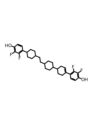 Oc1ccc(C2=CCC(C3CCC(CCC4CCC(c5ccc(O)c(F)c5F)CC4)CC3)CC2)c(F)c1F